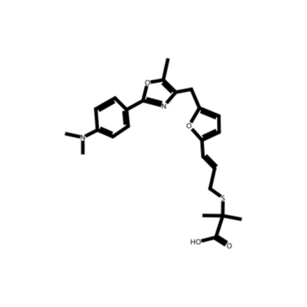 Cc1oc(-c2ccc(N(C)C)cc2)nc1Cc1ccc(/C=C/CSC(C)(C)C(=O)O)o1